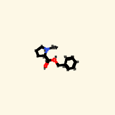 [CH2]CCN1CCCC1C(=O)OCc1ccccc1